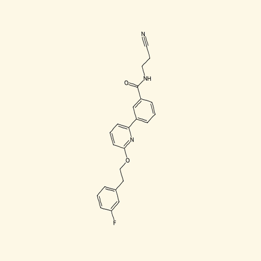 N#CCCNC(=O)c1cccc(-c2cccc(OCCc3cccc(F)c3)n2)c1